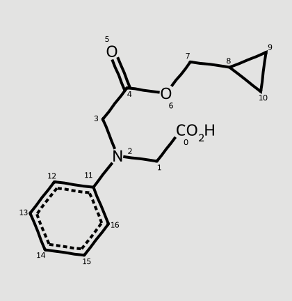 O=C(O)CN(CC(=O)OCC1CC1)c1ccccc1